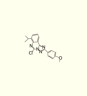 COc1ccc(-c2nc3c4cccc(C(C)C)c4nc(Cl)n3n2)cc1